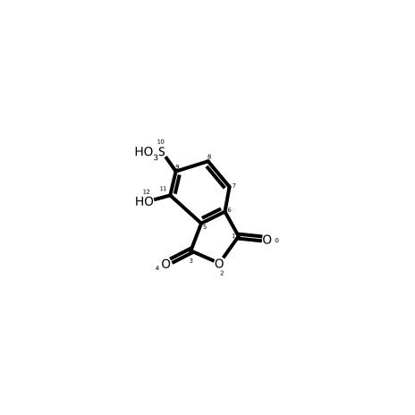 O=C1OC(=O)c2c1ccc(S(=O)(=O)O)c2O